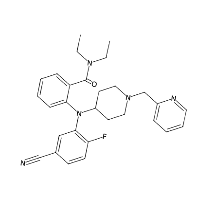 CCN(CC)C(=O)c1ccccc1N(c1cc(C#N)ccc1F)C1CCN(Cc2ccccn2)CC1